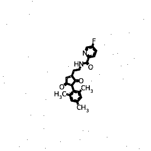 Cc1cc(C)c(C2C(=O)CC(CCNC(=O)c3ccc(F)cn3)C2=O)c(C)c1